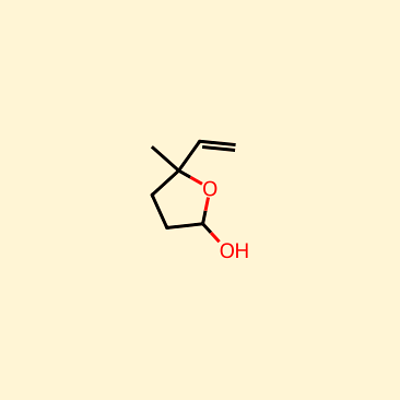 C=CC1(C)CCC(O)O1